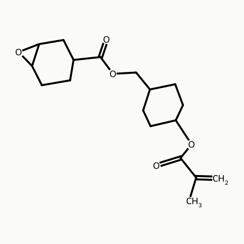 C=C(C)C(=O)OC1CCC(COC(=O)C2CCC3OC3C2)CC1